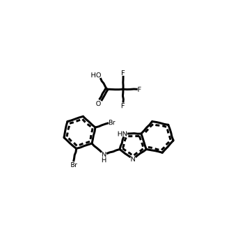 Brc1cccc(Br)c1Nc1nc2ccccc2[nH]1.O=C(O)C(F)(F)F